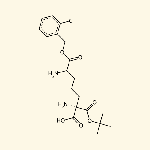 CC(C)(C)OC(=O)[C@](N)(CCCC(N)C(=O)OCc1ccccc1Cl)C(=O)O